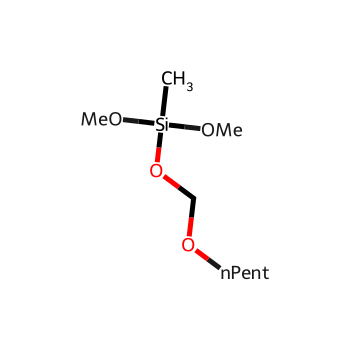 CCCCCOCO[Si](C)(OC)OC